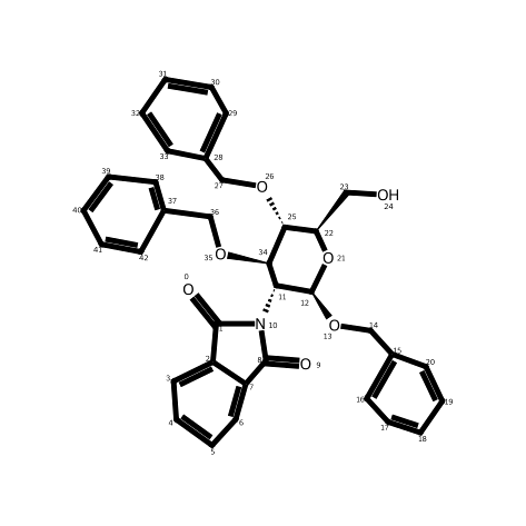 O=C1c2ccccc2C(=O)N1[C@H]1[C@H](OCc2ccccc2)O[C@H](CO)[C@@H](OCc2ccccc2)[C@@H]1OCc1ccccc1